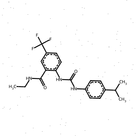 CCNC(=O)c1cc(C(F)(F)F)ccc1NC(=O)Nc1ccc(C(C)C)cc1